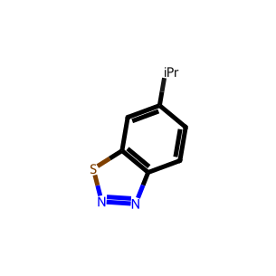 CC(C)c1ccc2nnsc2c1